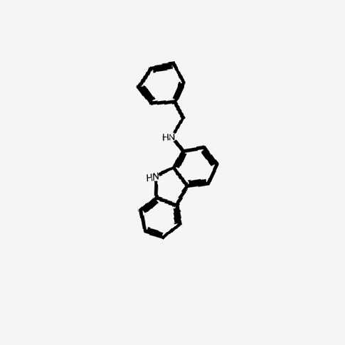 c1ccc(CNc2cccc3c2[nH]c2ccccc23)cc1